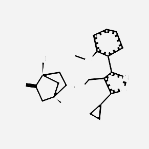 O=C1C[C@@H]2C[C@H]1C[C@@H]2OCc1c(-c2ccccc2OC(F)(F)F)noc1C1CC1